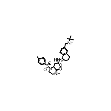 Cc1ccc(S(=O)(=O)N2CCNC(=O)C2CC(=O)N[C@@H]2CCCc3cc(CNC(C)(C)C)ccc32)cc1